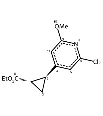 CCOC(=O)[C@H]1C[C@@H]1c1cc(Cl)nc(OC)c1